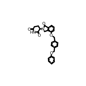 O=C1CCC(N2Cc3c(OCc4ccc(COc5ccccc5)cc4)cccc3C2=O)C(=O)N1